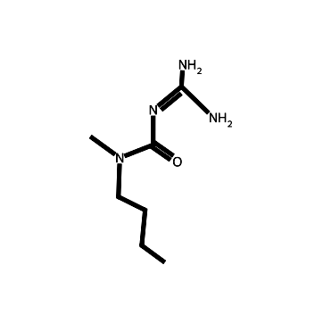 CCCCN(C)C(=O)N=C(N)N